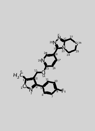 Cc1onc(-c2ccc(F)cc2)c1COc1ccc(-c2nnc3n2CCSC3)cn1